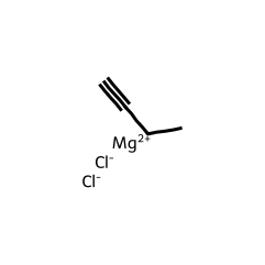 C#CCC.[Cl-].[Cl-].[Mg+2]